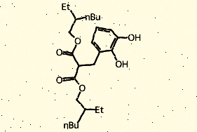 CCCCC(CC)COC(=O)C(Cc1cccc(O)c1O)C(=O)OCC(CC)CCCC